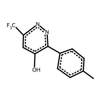 Cc1ccc(-c2nnc(C(F)(F)F)cc2O)cc1